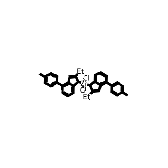 CCC1=Cc2c(-c3ccc(C)cc3)cccc2[CH]1[Zr]([Cl])([Cl])[CH]1C(CC)=Cc2c(-c3ccc(C)cc3)cccc21